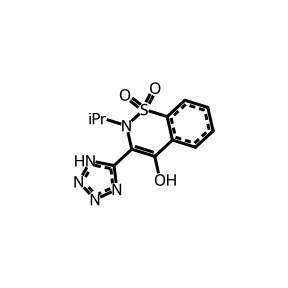 CC(C)N1C(c2nnn[nH]2)=C(O)c2ccccc2S1(=O)=O